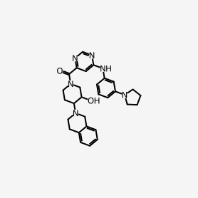 O=C(c1cc(Nc2cccc(N3CCCC3)c2)ncn1)N1CCC(N2CCc3ccccc3C2)C(O)C1